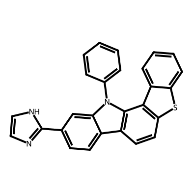 c1ccc(-n2c3cc(-c4ncc[nH]4)ccc3c3ccc4sc5ccccc5c4c32)cc1